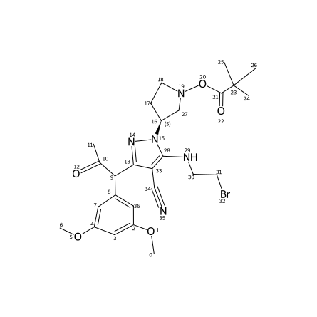 COc1cc(OC)cc(C(C(C)=O)c2nn([C@H]3CCN(OC(=O)C(C)(C)C)C3)c(NCCBr)c2C#N)c1